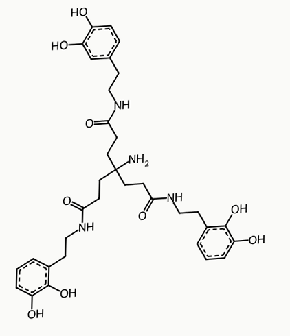 NC(CCC(=O)NCCc1ccc(O)c(O)c1)(CCC(=O)NCCc1cccc(O)c1O)CCC(=O)NCCc1cccc(O)c1O